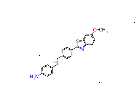 COc1ccc2nc(-c3ccc(/C=C/c4ccc(N)cc4)cc3)sc2c1